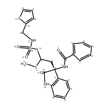 CSC(C[C@](NC(=O)c1ccccc1)(C(=O)O)c1ccccc1)SS(=O)(=O)NCc1cccs1